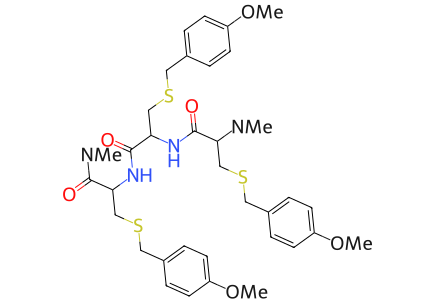 CNC(=O)C(CSCc1ccc(OC)cc1)NC(=O)C(CSCc1ccc(OC)cc1)NC(=O)C(CSCc1ccc(OC)cc1)NC